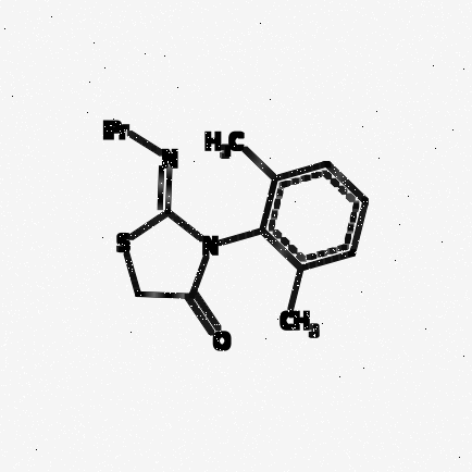 Cc1cccc(C)c1N1C(=O)CSC1=NC(C)C